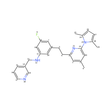 Cc1cc(CCc2cc(F)cc(NCc3cccnc3)c2)nc(-n2c(C)ccc2C)c1